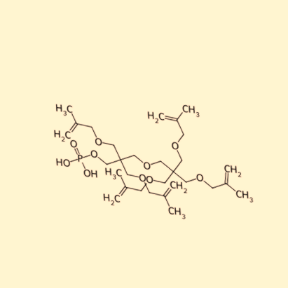 C=C(C)COCC(COCC(=C)C)(COCC(=C)C)COCC(COCC(=C)C)(COCC(=C)C)COP(=O)(O)O